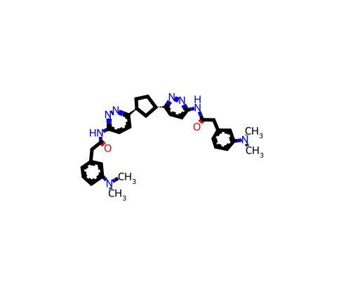 CN(C)c1cccc(CC(=O)Nc2ccc([C@H]3CC[C@H](c4ccc(NC(=O)Cc5cccc(N(C)C)c5)nn4)C3)nn2)c1